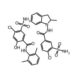 CC1Cc2ccccc2N1NC(=O)c1ccc(Cl)c(S(N)(=O)=O)c1.Cc1cccc(C)c1NC(=O)c1cc(S(N)(=O)=O)c(Cl)cc1O